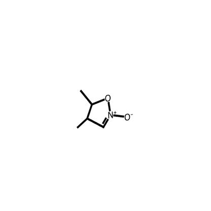 CC1C=[N+]([O-])OC1C